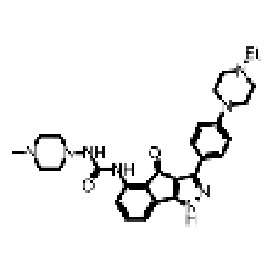 CCN1CCN(c2ccc(-c3n[nH]c4c3C(=O)c3c(NC(=O)NN5CCN(C)CC5)cccc3-4)cc2)CC1